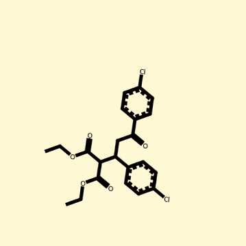 CCOC(=O)C(C(=O)OCC)C(CC(=O)c1ccc(Cl)cc1)c1ccc(Cl)cc1